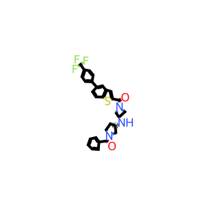 O=C(c1ccccc1)N1CC[C@H](NC2CN(C(=O)c3cc4cc(-c5ccc(C(F)(F)F)cc5)ccc4s3)C2)C1